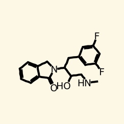 CNCC(O)C(Cc1cc(F)cc(F)c1)N1Cc2ccccc2C1=O